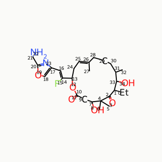 CCC1C(=O)C(C)(C)C(O)CC(=O)OC(C(F)=Cc2coc(CN)n2)C/C=C(\C)CCCC(C)C1O